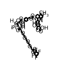 Cc1c(F)cc2nc3c(c4c2c1CCC4NC(=O)OCc1ccc(NC(=O)[C@H](C)NC(=O)[C@@H](NC(=O)CCOCCOCCOCCOCCC(=O)Oc2c(F)c(F)cc(F)c2F)C(C)C)cc1)Cn1c-3cc2c(c1=O)COC(=O)[C@H]2O